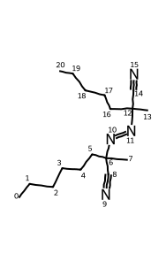 CCCCCCC(C)(C#N)N=NC(C)(C#N)CCCCC